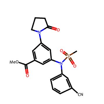 COC(=O)c1cc(N2CCCC2=O)cc(N(c2cccc(C#N)c2)S(C)(=O)=O)c1